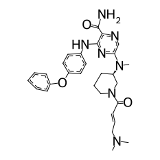 CN(C)CC=CC(=O)N1CCC[C@@H](N(C)c2cnc(C(N)=O)c(Nc3ccc(Oc4ccccc4)cc3)n2)C1